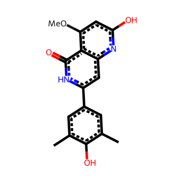 COc1cc(O)nc2cc(-c3cc(C)c(O)c(C)c3)[nH]c(=O)c12